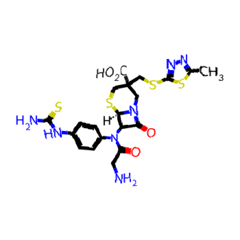 Cc1nnc(SCC2(C(=O)O)CS[C@@H]3C(N(C(=O)CN)c4ccc(NC(N)=S)cc4)C(=O)N3C2)s1